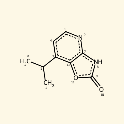 CC(C)c1ccnc2[nH]c(=O)oc12